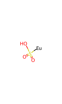 O=[S](=O)(O)[Eu]